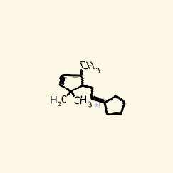 CC1C=CC(C)(C)C1C/C=C1\[CH]CCC1